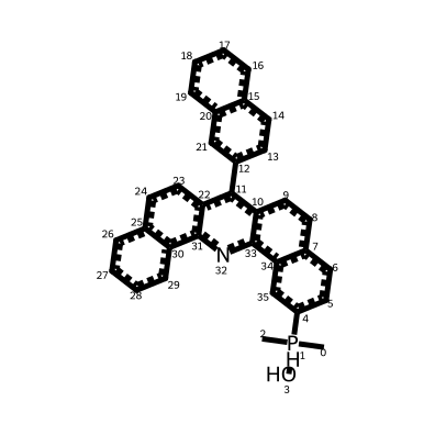 C[PH](C)(O)c1ccc2ccc3c(-c4ccc5ccccc5c4)c4ccc5ccccc5c4nc3c2c1